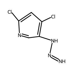 N=NNc1cnc(Cl)cc1Cl